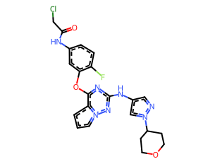 O=C(CCl)Nc1ccc(F)c(Oc2nc(Nc3cnn(C4CCOCC4)c3)nn3cccc23)c1